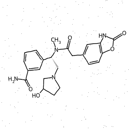 CN(C(=O)Cc1ccc2oc(=O)[nH]c2c1)[C@H](CN1CCC(O)C1)c1cccc(C(N)=O)c1